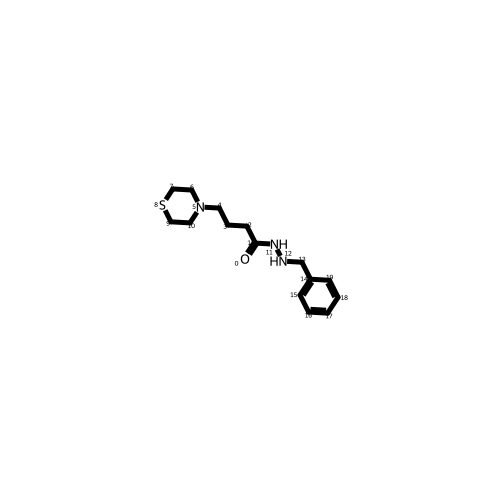 O=C(CCCN1CCSCC1)NNCc1ccccc1